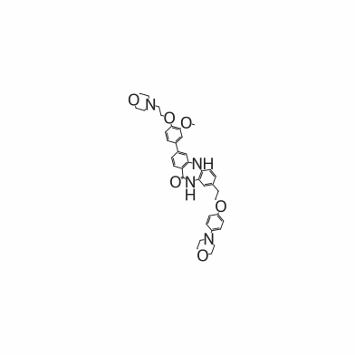 COc1cc(-c2ccc3c(c2)Nc2ccc(CCOc4ccc(N5CCOCC5)cc4)cc2NC3=O)ccc1OCCN1CCOCC1